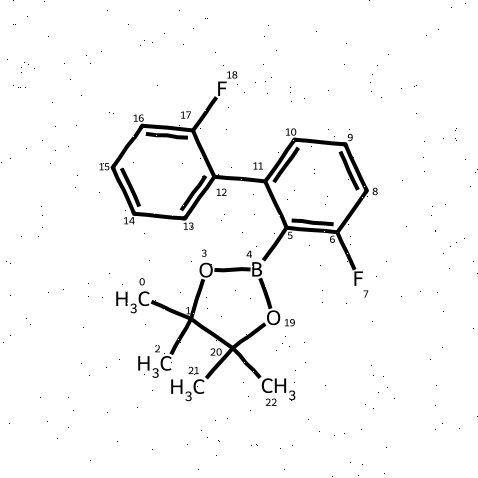 CC1(C)OB(c2c(F)cccc2-c2ccccc2F)OC1(C)C